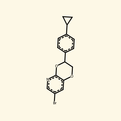 Brc1cnc2c(c1)OCC(c1ccc(C3CC3)cc1)O2